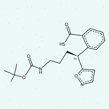 CC(C)(C)OC(=O)NCCC[C@H](c1ccno1)c1ccccc1C(=O)S